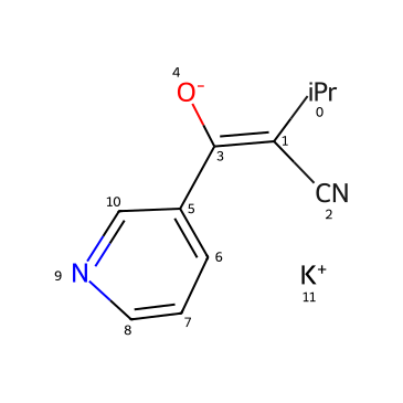 CC(C)C(C#N)=C([O-])c1cccnc1.[K+]